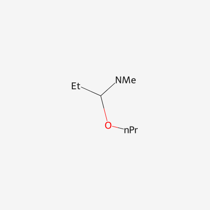 CCCOC(CC)NC